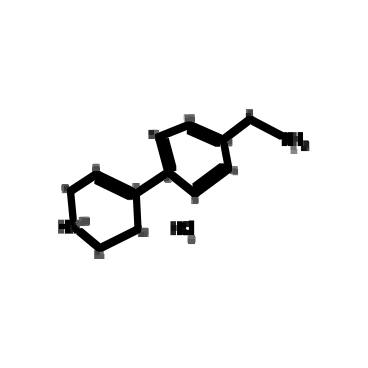 Cl.NCc1ccc(C2=CCNCC2)cc1